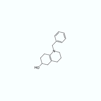 OC1CCC2=C(CCCN2Cc2ccccc2)C1